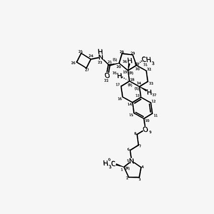 C[C@@H]1CCCN1CCCOc1ccc2c(c1)CC[C@H]1[C@@H]3[C@@H](C(=O)NC4CCC4)CC[C@@]3(C)CC[C@H]21